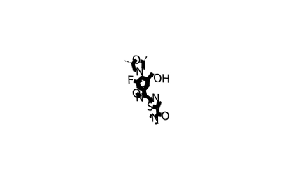 C[C@@H]1CN(c2c(CO)cc3c(-c4ncc(C(=O)N(C)C)s4)noc3c2F)C[C@H](C)O1